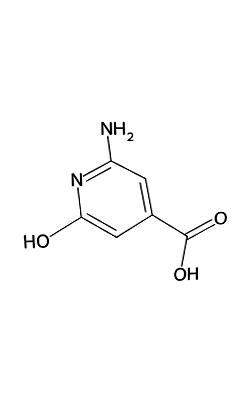 Nc1cc(C(=O)O)cc(O)n1